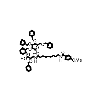 CC[C@@H](O)[C@@H](OCc1ccccc1)[C@H](CO[C@H]1OC(COCc2ccccc2)[C@H](OCc2ccccc2)[C@H](OCc2ccccc2)C1OCc1ccccc1)NC(=O)CCCCCCCCNC(=O)c1ccc(OC)cc1